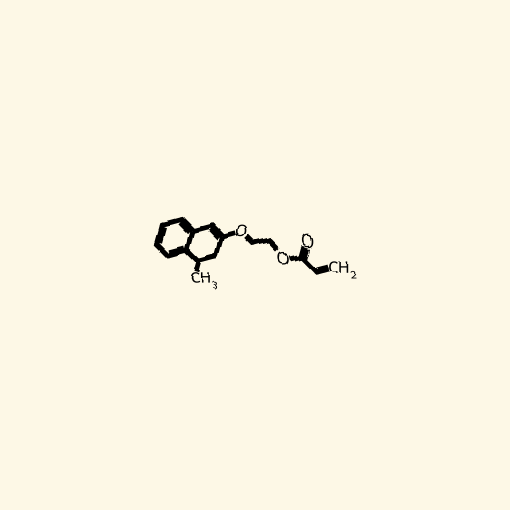 C=CC(=O)OCCOC1=Cc2ccccc2C(C)C1